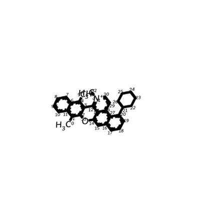 Cc1c2c(c(C)c3ccccc13)-c1c3c(cc4cccc(C5CCCCC5)c4c3cc[n+]1C)O2